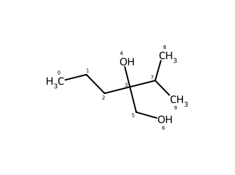 CCCC(O)(CO)C(C)C